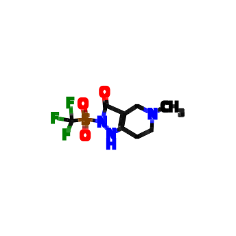 CN1CCc2[nH]n(S(=O)(=O)C(F)(F)F)c(=O)c2C1